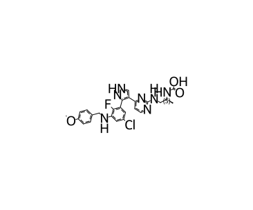 COc1ccc(CNc2cc(Cl)cc(-c3n[nH]cc3-c3ccnc(NC[C@H](C)NC(=O)O)n3)c2F)cc1